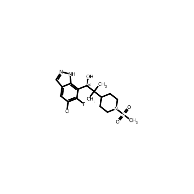 CC(C)(C1CCN(S(C)(=O)=O)CC1)[C@H](O)c1c(F)c(Cl)cc2cn[nH]c12